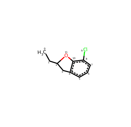 CCC1Cc2cccc(Cl)c2O1